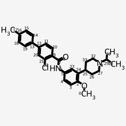 COc1ccc(NC(=O)c2ccc(-c3ccc(C)cc3)cc2Cl)cc1C1CCN(C(C)C)CC1